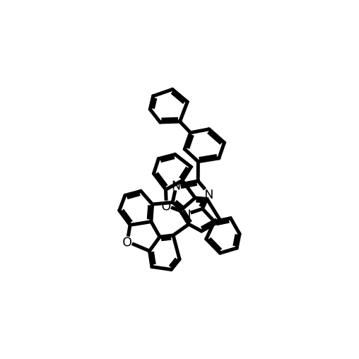 c1ccc(-c2cccc(-c3nc(-c4ccccc4)nc(-c4cccc5oc6cccc(-c7cccc8c7oc7ccccc78)c6c45)n3)c2)cc1